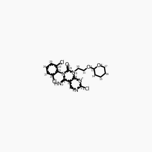 N=c1c2cnc(Cl)nc2n(CCOC2CCCCO2)c(=O)n1-c1c(Cl)cccc1Cl